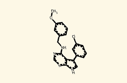 COc1cccc(CNc2ncnc3[nH]cc(-c4cccc(Cl)c4)c23)c1